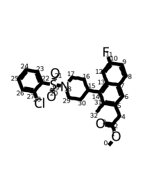 COC(=O)Cc1cc2ccc(F)cc2c(C2CCN(S(=O)(=O)c3ccccc3Cl)CC2)c1C